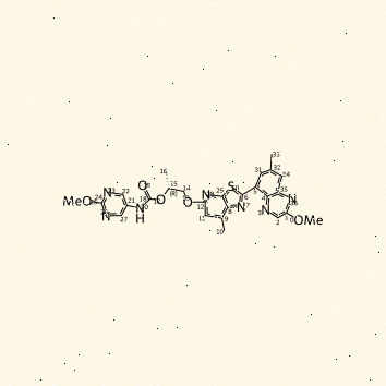 COc1cnc2c(-c3nc4c(C)cc(OC[C@@H](C)OC(=O)Nc5cnc(OC)nc5)nc4s3)cc(C)cc2n1